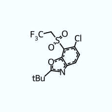 CC(C)(C)c1nc2ccc(Cl)c(S(=O)(=O)CC(F)(F)F)c2o1